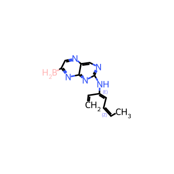 Bc1cnc2cnc(N/C(C=C)=C/C=C\C)nc2n1